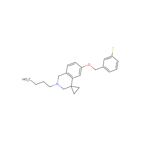 O=C(O)CCCN1Cc2ccc(OCc3cccc(F)c3)cc2C2(CC2)C1